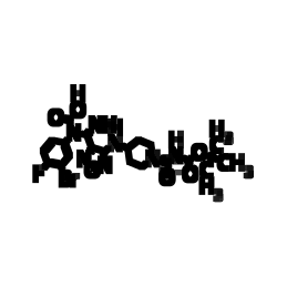 CC(C)(C)OC(=O)N[S+]([O-])N1CCC(Nc2nonc2C(=N)N(C(=O)O)c2ccc(F)c(Br)c2)CC1